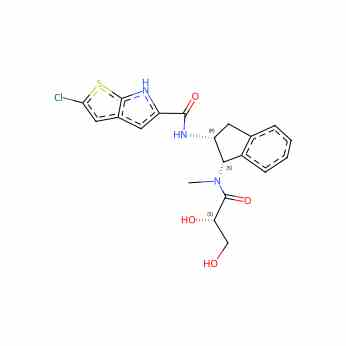 CN(C(=O)[C@@H](O)CO)[C@H]1c2ccccc2C[C@H]1NC(=O)c1cc2cc(Cl)sc2[nH]1